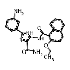 CCOc1ccc2ccccc2c1C(=O)Nc1[nH]c(-c2cccc(N)c2)nc1C(N)=O